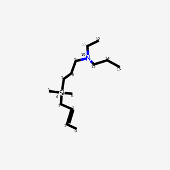 CC=CC[Si](C)(C)CCCN(CC)CCC